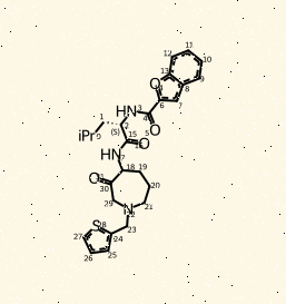 CC(C)C[C@H](NC(=O)c1cc2ccccc2o1)C(=O)NC1CCCN(Cc2cccs2)CC1=O